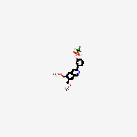 COCc1cc2cnc(-c3cccc(OS(=O)(=O)C(F)(F)F)c3)cc2cc1COC